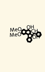 COc1cc2c(O)cc3c(c2cc1OC)-c1ccccc1C3(O)C(C)c1ccccc1